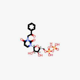 O=C(Cn1c(=O)ccn([C@@H]2O[C@H](COP(=O)(O)OP(=O)(O)O)[C@@H](O)[C@H]2O)c1=O)c1ccccc1